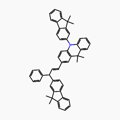 CC1(C)c2ccccc2-c2ccc(C(/C=C/c3ccc4c(c3)C(C)(C)c3ccccc3N4c3ccc4c(c3)C(C)(C)c3ccccc3-4)c3ccccc3)cc21